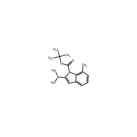 Cc1cccc2cc(B(O)O)n(C(=O)OC(C)(C)C)c12